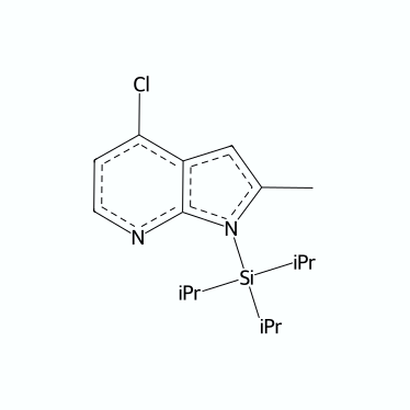 Cc1cc2c(Cl)ccnc2n1[Si](C(C)C)(C(C)C)C(C)C